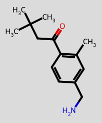 Cc1cc(CN)ccc1C(=O)CC(C)(C)C